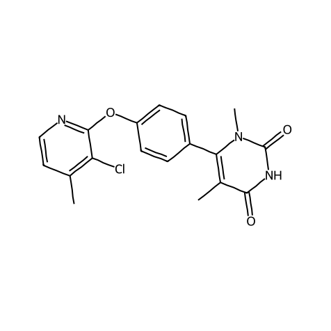 Cc1ccnc(Oc2ccc(-c3c(C)c(=O)[nH]c(=O)n3C)cc2)c1Cl